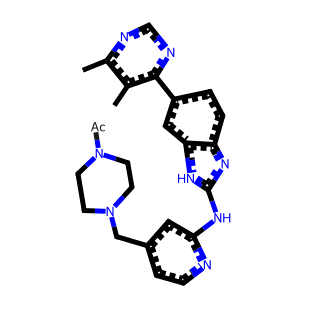 CC(=O)N1CCN(Cc2ccnc(Nc3nc4ccc(-c5ncnc(C)c5C)cc4[nH]3)c2)CC1